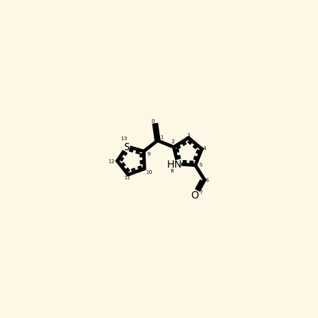 C=C(c1ccc(C=O)[nH]1)c1cccs1